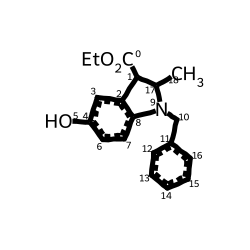 CCOC(=O)C1c2cc(O)ccc2N(Cc2ccccc2)C1C